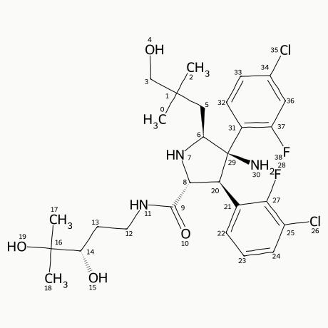 CC(C)(CO)C[C@@H]1N[C@@H](C(=O)NCC[C@H](O)C(C)(C)O)[C@H](c2cccc(Cl)c2F)[C@@]1(N)c1ccc(Cl)cc1F